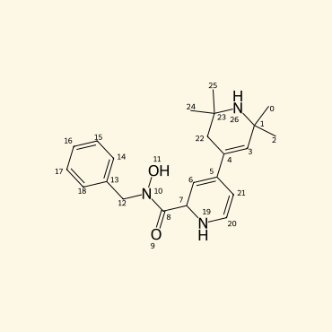 CC1(C)C=C(C2=CC(C(=O)N(O)Cc3ccccc3)NC=C2)CC(C)(C)N1